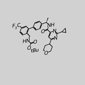 C[C@@H](NC(=O)c1cc(C2CCOCC2)nc(C2CC2)n1)c1ccc(-c2cc(C(F)(F)F)ccc2CNC(=O)OC(C)(C)C)cc1